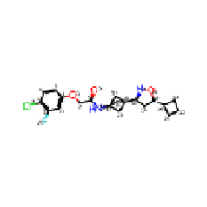 O=C(COc1ccc(Cl)c(F)c1)NC12CC(C3=NO[C@@H](C4CCC4)C3)(C1)C2